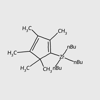 CCC[CH2][Zr]([CH2]CCC)([CH2]CCC)[C]1=C(C)C(C)=C(C)C1(C)C